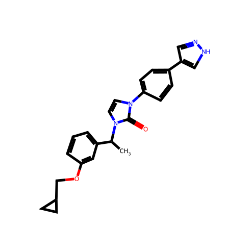 CC(c1cccc(OCC2CC2)c1)n1ccn(-c2ccc(-c3cn[nH]c3)cc2)c1=O